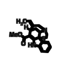 C/C=C1/CN2CCSC34C(=C(C(=O)OC)[C@H]1CC23)Nc1ccccc14